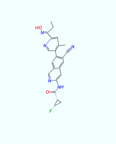 CC/C(=N\O)c1cc(C)c(-c2cc3cnc(NC(=O)[C@@H]4C[C@@H]4F)cc3cc2C#N)cn1